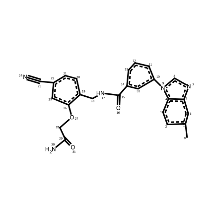 Cc1ccc2c(c1)ncn2-c1cccc(C(=O)NCc2ccc(C#N)cc2OCC(N)=O)c1